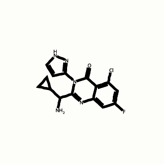 NC(c1nc2cc(F)cc(Cl)c2c(=O)n1-c1cc[nH]n1)C1CC1